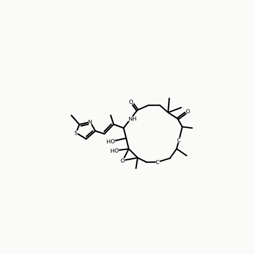 CC(=Cc1csc(C)n1)C1NC(=O)CCC(C)(C)C(=O)C(C)CC(C)CCCC2(C)OC2(O)C1O